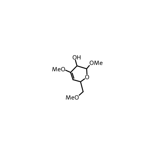 COCC1C=C(OC)C(O)C(OC)O1